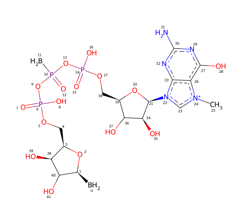 B[C@@H]1O[C@H](COP(=O)(O)OP(B)(=O)OP(=O)(O)OC[C@H]2O[C@@H](n3c[n+](C)c4c(O)nc(N)nc43)[C@@H](O)C2O)[C@H](O)C1O